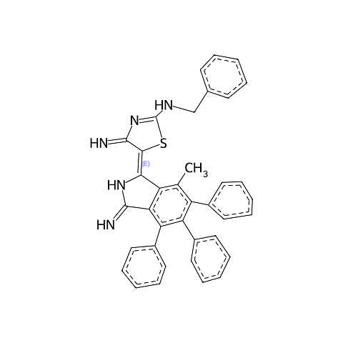 Cc1c2c(c(-c3ccccc3)c(-c3ccccc3)c1-c1ccccc1)C(=N)N/C2=C1/SC(NCc2ccccc2)=NC1=N